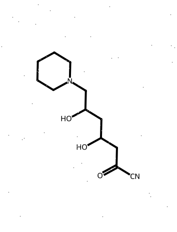 N#CC(=O)CC(O)CC(O)CN1CCCCC1